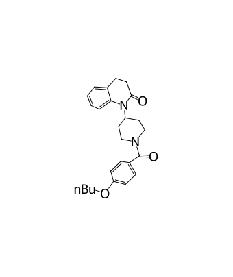 CCCCOc1ccc(C(=O)N2CCC(N3C(=O)CCc4ccccc43)CC2)cc1